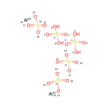 O=S(=O)(O)O.O=S(=O)(O)O.O=S(=O)([O-])[O-].O=S(=O)([O-])[O-].O=S(=O)([O-])[O-].[Al+3].[Al+3]